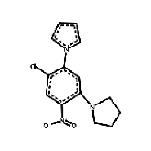 O=[N+]([O-])c1cc(Cl)c(-n2cccc2)cc1N1CCCC1